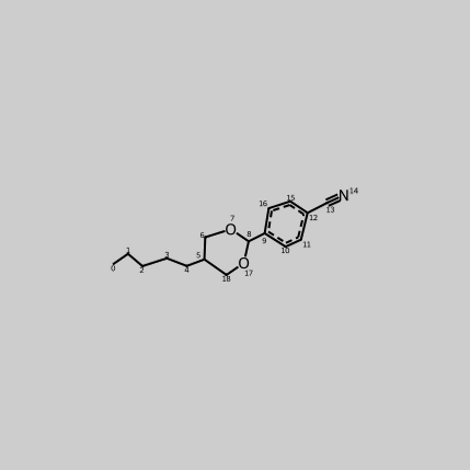 CCCCCC1COC(c2ccc(C#N)cc2)OC1